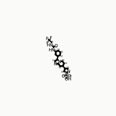 O=C(NCC(F)(F)F)Nc1cccc(-c2cnc3cc(-c4cnn(S(=O)(=O)O)c4)ccn23)c1